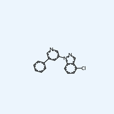 Clc1cccc2c1cnn2-c1cncc(-c2ccccc2)c1